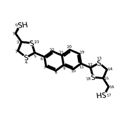 SCC1CSC(c2ccc3cc(C4SCC(CS)S4)ccc3c2)S1